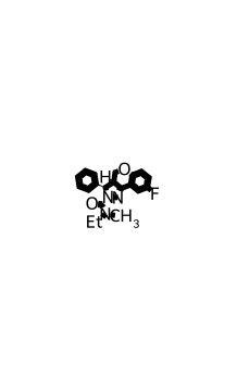 CCN(C)C(=O)N1N=C2c3cc(F)ccc3OC[C@@H]2[C@H]1c1ccccc1